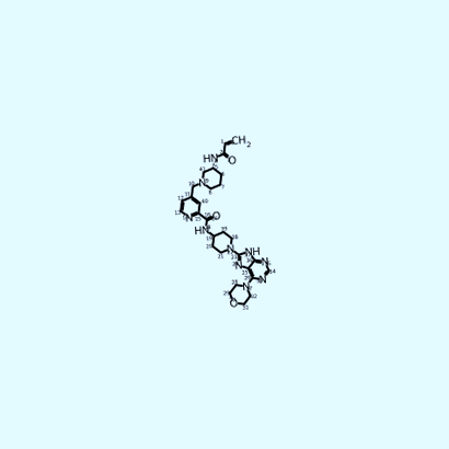 C=CC(=O)N[C@@H]1CCCN(Cc2ccnc(C(=O)NC3CCN(c4nc5c(N6CCOCC6)ncnc5[nH]4)CC3)c2)C1